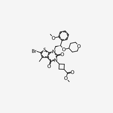 COC(=O)C1CC(n2c(=O)c3c(C)c(Br)sc3n(C[C@H](OC3CCOCC3)c3ccccc3OC)c2=O)C1